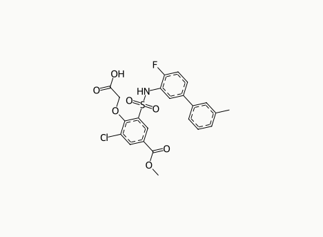 COC(=O)c1cc(Cl)c(OCC(=O)O)c(S(=O)(=O)Nc2cc(-c3cccc(C)c3)ccc2F)c1